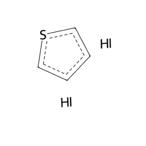 I.I.c1ccsc1